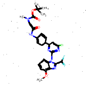 COc1cccc2c1nc(C(F)F)n2-c1nc(Cl)cc(-c2ccc(NC(=O)CN(C)C(=O)OC(C)(C)C)cc2)n1